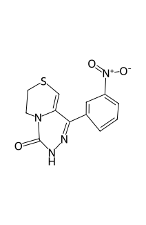 O=C1NN=C(c2cccc([N+](=O)[O-])c2)C2=CSCCN12